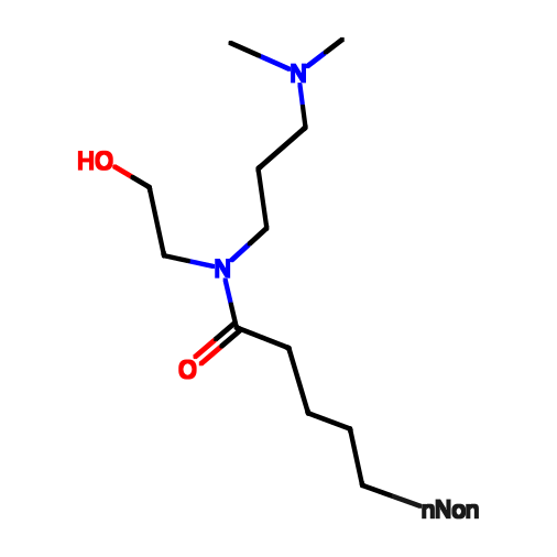 CCCCCCCCCCCCCC(=O)N(CCO)CCCN(C)C